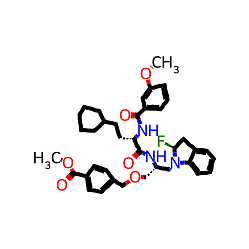 COC(=O)c1ccc(COC[C@@H](CN2c3ccccc3C[C@@H]2F)NC(=O)[C@H](CCC2CCCCC2)NC(=O)c2cccc(OC)c2)cc1